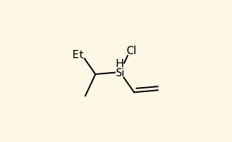 C=C[SiH](Cl)C(C)CC